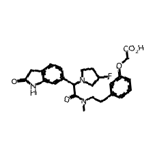 CN(CCc1cccc(OCC(=O)O)c1)C(=O)C(c1ccc2c(c1)NC(=O)C2)N1CCC(F)C1